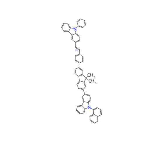 CC1(C)c2cc(-c3ccc(/C=C/c4ccc5c(c4)c4ccccc4n5-c4ccccc4)cc3)ccc2-c2ccc(-c3ccc4c(c3)c3ccccc3n4-c3cccc4ccccc34)cc21